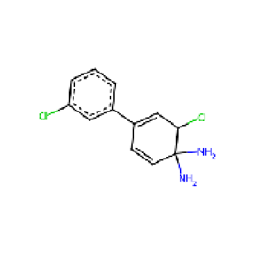 NC1(N)C=CC(c2cccc(Cl)c2)=CC1Cl